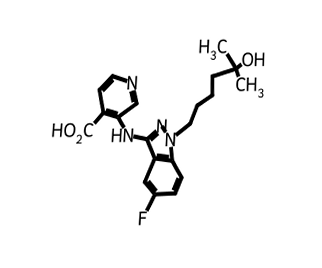 CC(C)(O)CCCCn1nc(Nc2cnccc2C(=O)O)c2cc(F)ccc21